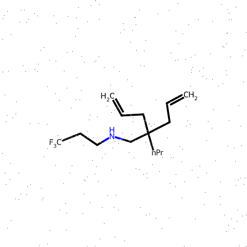 C=CCC(CC=C)(CCC)CNCCC(F)(F)F